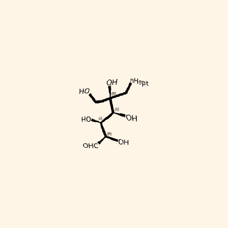 CCCCCCCC[C@@](O)(CO)[C@@H](O)[C@H](O)[C@@H](O)C=O